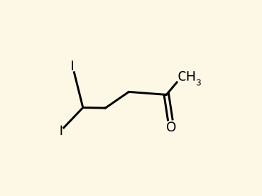 CC(=O)CCC(I)I